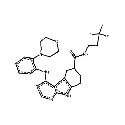 O=C(NCCC(F)(F)F)C1CCc2[nH]c3ncnc(Nc4ccccc4N4CCOCC4)c3c2C1